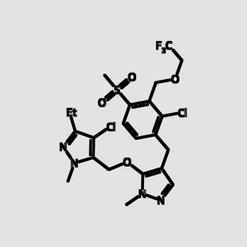 CCc1nn(C)c(COc2c(Cc3ccc(S(C)(=O)=O)c(COCC(F)(F)F)c3Cl)cnn2C)c1Cl